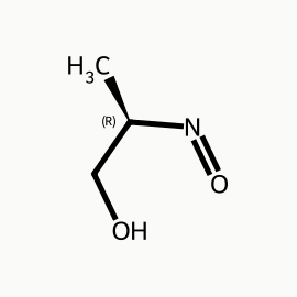 C[C@H](CO)N=O